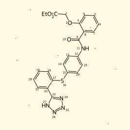 CCOC(=O)COc1ccccc1C(=O)Nc1ccc(Sc2ccccc2-c2nnn[nH]2)cc1